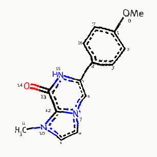 COc1ccc(-c2c[n+]3ccn(C)c3c(=O)[nH]2)cc1